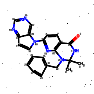 CC1(C)NC(=O)c2ccc(-n3ccc4ncncc43)nc2N1Cc1ccccc1